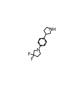 FC1(F)CCN(c2ccc(C3CCNC3)cc2)C1